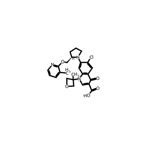 Cc1cccnc1OC[C@H]1CCCN1c1cc2c(cc1Cl)c(=O)c(C(=O)O)cn2C1(C)COC1